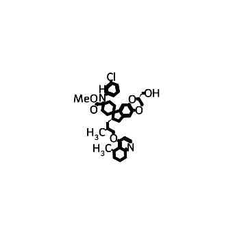 COC(=O)C1(Nc2cccc(Cl)c2)CCC2(CC1)c1cc3c(cc1C[C@@H]2C[C@@H](C)COc1ccnc2c1[C@H](C)CCC2)OC[C@@H](CO)O3